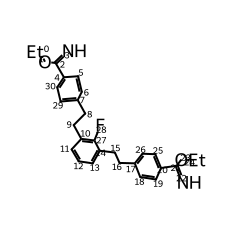 CCOC(=N)c1ccc(CCc2cccc(CCc3ccc(C(=N)OCC)cc3)c2F)cc1